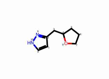 c1cc(CC2CCCO2)n[nH]1